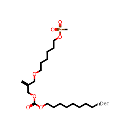 C=C(COCCCCCCOS(C)(=O)=O)COC(=O)OCCCCCCCCCCCCCCCCCC